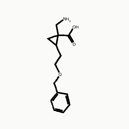 NCC1(C(=O)O)CC1CCOCc1ccccc1